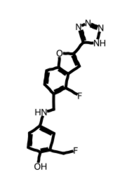 Oc1ccc(NCc2ccc3oc(-c4nnn[nH]4)cc3c2F)cc1CF